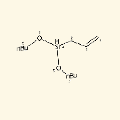 C=CC[SiH](OCCCC)OCCCC